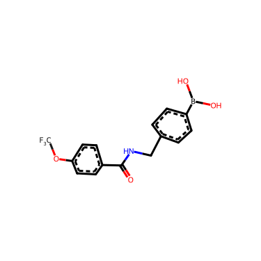 O=C(NCc1ccc(B(O)O)cc1)c1ccc(OC(F)(F)F)cc1